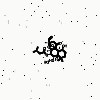 C=C[C@@]1(C)CC(=O)[C@]2(O)[C@@]3(C)[C@@H](O)CCC(C)(C)[C@@H]3[C@H](O)[C@H](OC(=O)CN(C)C)[C@@]2(C)O1.Cl